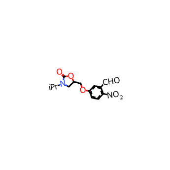 CC(C)N1CC(COc2ccc([N+](=O)[O-])c(C=O)c2)OC1=O